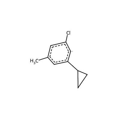 Cc1cc(Cl)[c]c(C2CC2)c1